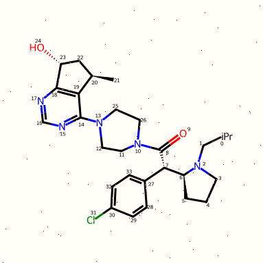 CC(C)CN1CCC[C@H]1[C@@H](C(=O)N1CCN(c2ncnc3c2[C@H](C)C[C@H]3O)CC1)c1ccc(Cl)cc1